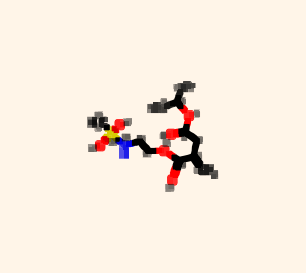 C=C(CC(=O)OC(CCC)CCCC)C(=O)OCCNS(C)(=O)=O